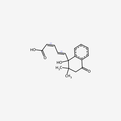 CC1(C)CC(=O)c2ccccc2C1(O)/C=C/C=C\C(=O)O